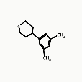 Cc1cc(C)cc(C2CC[N]CC2)c1